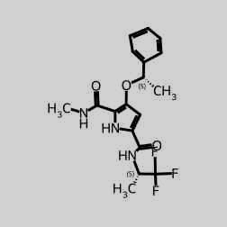 CNC(=O)c1[nH]c(C(=O)N[C@@H](C)C(F)(F)F)cc1O[C@@H](C)c1ccccc1